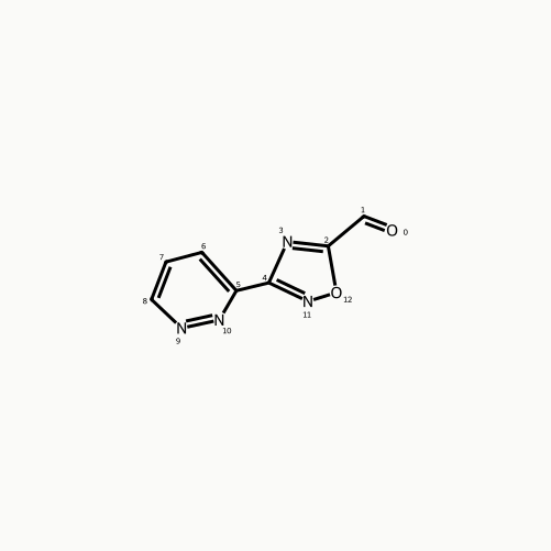 O=Cc1nc(-c2cccnn2)no1